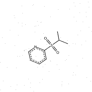 CC(C)S(=O)(=O)c1cc[c]cn1